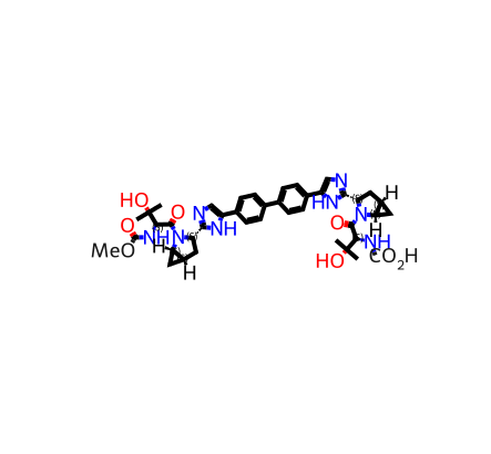 COC(=O)N[C@H](C(=O)N1[C@H](c2ncc(-c3ccc(-c4ccc(-c5cnc([C@@H]6C[C@@H]7C[C@@H]7N6C(=O)[C@@H](NC(=O)O)C(C)(C)O)[nH]5)cc4)cc3)[nH]2)C[C@@H]2C[C@@H]21)C(C)(C)O